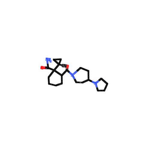 N#CC1(C2(C(N)=O)CCCCC2C(=O)N2CCC(N3CCCC3)CC2)CC1